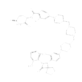 COc1cc(N2CCC(CN3CCN(CC4CCN(c5ccc6c(c5)CN(C5CCC(=O)NC5=O)C6=O)CC4)CC3)CC2)ccc1[C@@H]1N(c2ccccc2O)C(=O)C12CCCC2